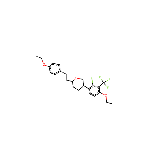 CCOc1ccc(CCC2CCC(c3ccc(OCC)c(C(F)(F)F)c3F)CO2)cc1